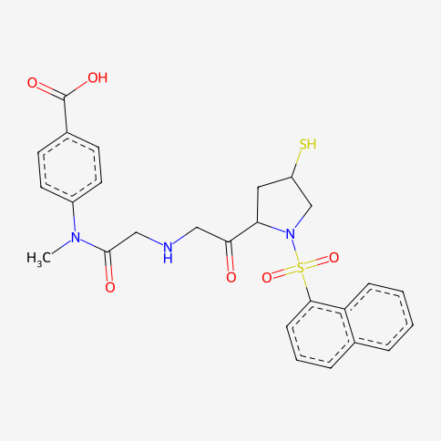 CN(C(=O)CNCC(=O)C1CC(S)CN1S(=O)(=O)c1cccc2ccccc12)c1ccc(C(=O)O)cc1